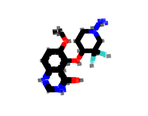 COc1ccc2nc[nH]c(=O)c2c1OC1CCN(N)CC1(F)F